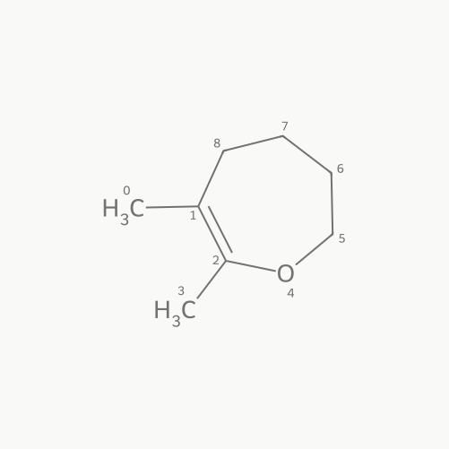 CC1=C(C)OCCCC1